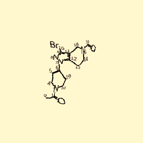 CC(=O)N1CCC(n2nc(Br)c3c2CCN(C=O)C3)CC1